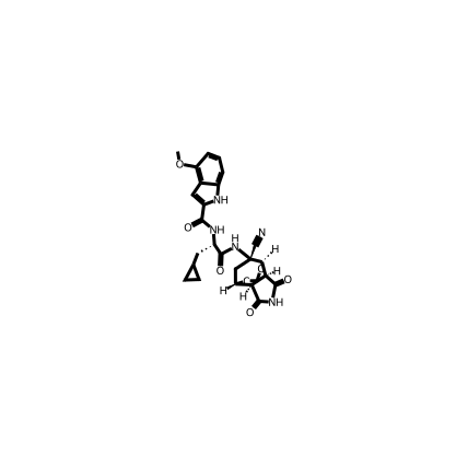 COc1cccc2[nH]c(C(=O)N[C@@H](CC3CC3)C(=O)N[C@@]3(C#N)C[C@@H]4CCC[C@@H]3[C@H]3C(=O)NC(=O)[C@@H]43)cc12